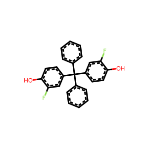 Oc1ccc(C(c2ccccc2)(c2ccccc2)c2ccc(O)c(F)c2)cc1F